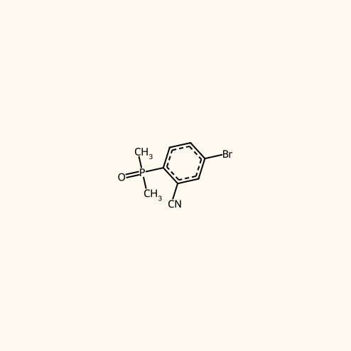 CP(C)(=O)c1ccc(Br)cc1C#N